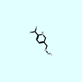 NOCC1=CC=C(C(F)F)NC1